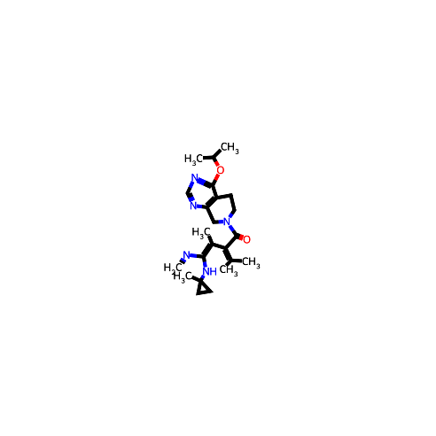 C=N/C(NC1(C)CC1)=C(\C)C(C(=O)N1CCc2c(ncnc2OC(C)C)C1)=C(C)C